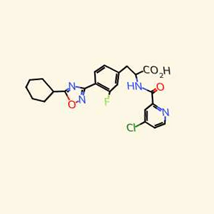 O=C(NC(Cc1ccc(-c2noc(C3CCCCC3)n2)c(F)c1)C(=O)O)c1cc(Cl)ccn1